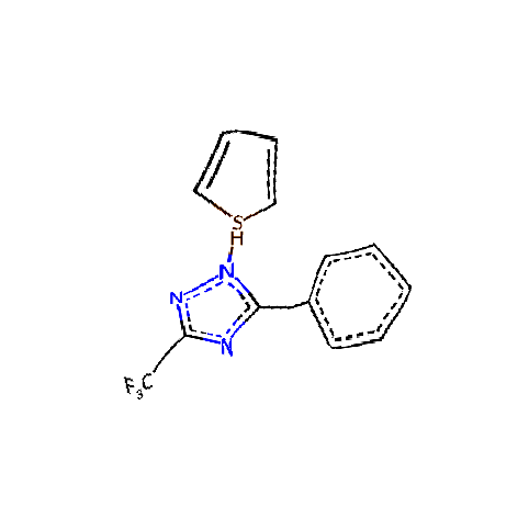 FC(F)(F)c1nc(-c2ccccc2)n([SH]2C=CC=C2)n1